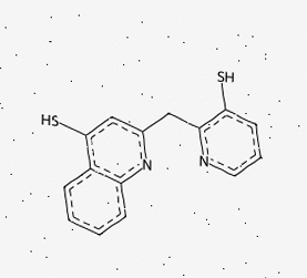 Sc1cccnc1Cc1cc(S)c2ccccc2n1